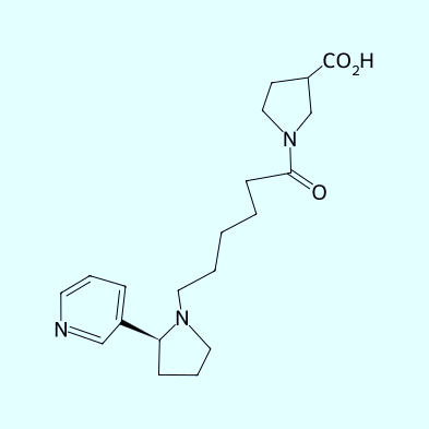 O=C(O)C1CCN(C(=O)CCCCCN2CCC[C@H]2c2cccnc2)C1